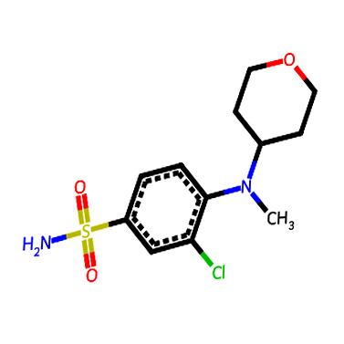 CN(c1ccc(S(N)(=O)=O)cc1Cl)C1CCOCC1